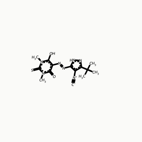 [C-]#[N+]c1c(C(C)(C)C)n[nH]c1N=Nc1c(O)n(C)c(=S)n(C)c1=O